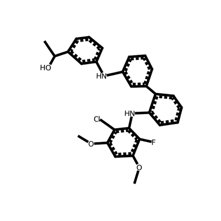 COc1cc(OC)c(Cl)c(Nc2ccccc2-c2cccc(Nc3cccc(C(C)O)c3)c2)c1F